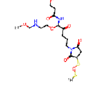 [3H]SOSC1CC(=O)N(CCCC(=O)C(NC(=O)CCO)OCCNCOCC)C1=O